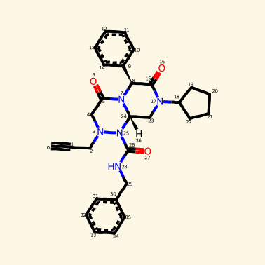 C#CCN1CC(=O)N2[C@@H](c3ccccc3)C(=O)N(C3CCCC3)C[C@@H]2N1C(=O)NCc1ccccc1